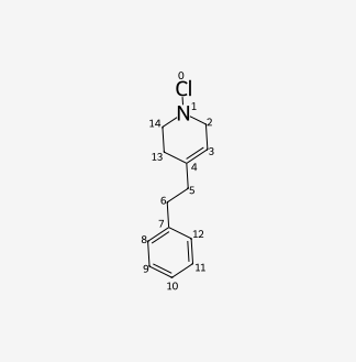 ClN1CC=C(CCc2ccccc2)CC1